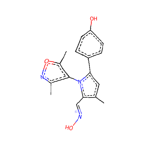 Cc1cc(-c2ccc(O)cc2)n(-c2c(C)noc2C)c1/C=N/O